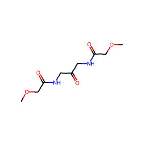 COCC(=O)NCC(=O)CNC(=O)COC